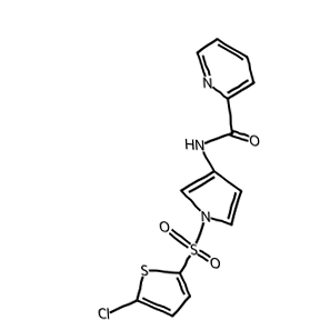 O=C(Nc1ccn(S(=O)(=O)c2ccc(Cl)s2)c1)c1ccccn1